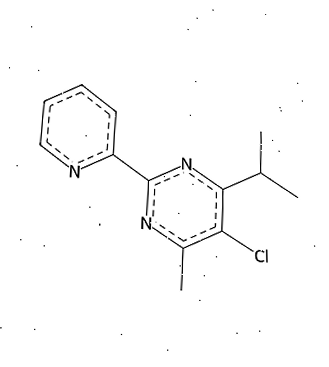 Cc1nc(-c2ccccn2)nc(C(C)C)c1Cl